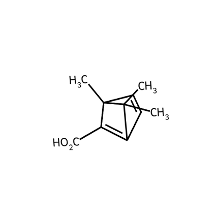 CC1(C)C2=C(C(=O)O)C1(C)C=C2